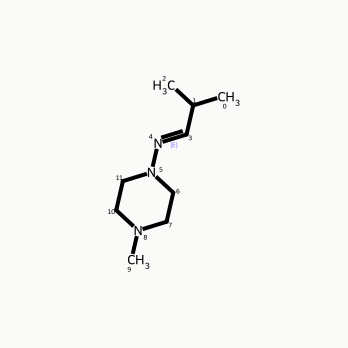 CC(C)/C=N/N1CCN(C)CC1